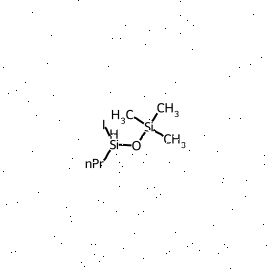 CCC[SiH](I)O[Si](C)(C)C